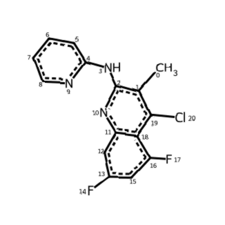 Cc1c(Nc2ccccn2)nc2cc(F)cc(F)c2c1Cl